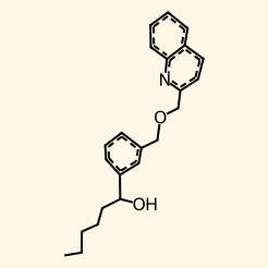 CCCCCC(O)c1cccc(COCc2ccc3ccccc3n2)c1